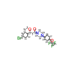 O=C(CC1OCCc2cc(Br)ccc21)N1CCN(c2ccc(OC(F)(F)F)cc2)CC1